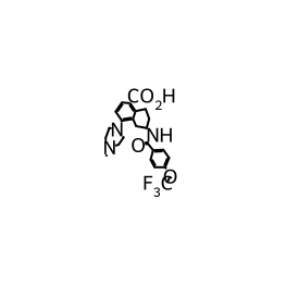 CN1CCN(c2ccc(C(=O)O)c3c2C[C@H](NC(=O)c2ccc(OC(F)(F)F)cc2)CC3)CC1